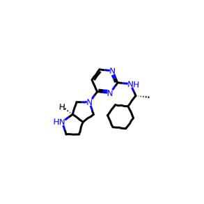 C[C@@H](Nc1nccc(N2CC3CCN[C@H]3C2)n1)C1CCCCC1